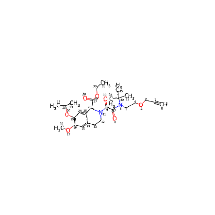 C#CCOCCN(C(=O)C(=O)N1CCc2cc(OC)c(OC(C)C)cc2C1C(=O)OCC)C(C)(C)C